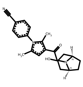 Cc1cc(C(=O)CN2[C@@H]3CC[C@H]2CC(O)C3)c(C)n1-c1ccc(C#N)cc1